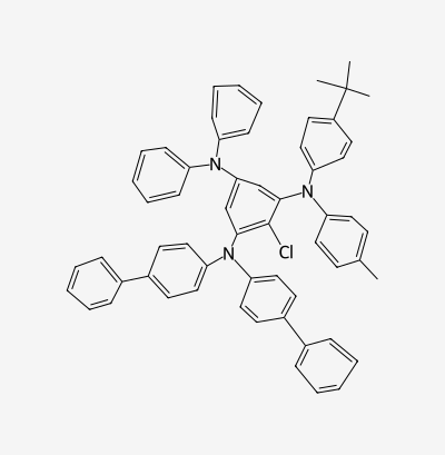 Cc1ccc(N(c2ccc(C(C)(C)C)cc2)c2cc(N(c3ccccc3)c3ccccc3)cc(N(c3ccc(-c4ccccc4)cc3)c3ccc(-c4ccccc4)cc3)c2Cl)cc1